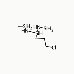 C[SiH2]N[SiH](CCCCl)N[SiH3]